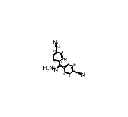 N#Cc1ccc(C(=NN)c2ccc(C#N)cc2)cc1